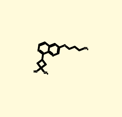 CCCCOc1cnc2c(C3CC(C)(O)C3)nccc2c1